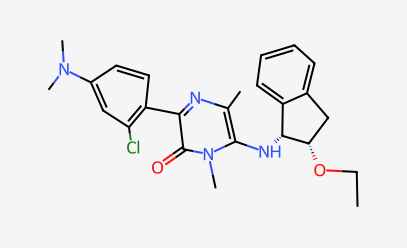 CCO[C@H]1Cc2ccccc2[C@H]1Nc1c(C)nc(-c2ccc(N(C)C)cc2Cl)c(=O)n1C